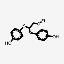 CCOCC(Sc1ccc(O)cc1)Sc1ccc(O)cc1